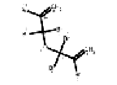 C=C(Br)C(Br)(Br)OC(Br)(Br)C(=C)Br